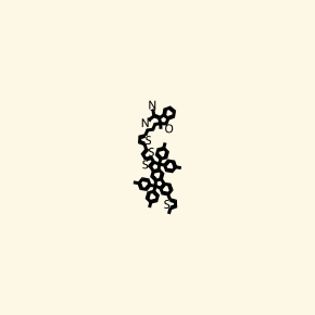 Cc1ccc(C2(c3ccc(C)cc3)c3cc(-c4ccc(C)s4)ccc3-c3cc4c(cc32)-c2sc3cc(-c5ccc(CCCC6(C)C(=O)c7ccccc7C6=C(C#N)C#N)s5)sc3c2C4(c2ccc(C)cc2)c2ccc(C)cc2)cc1